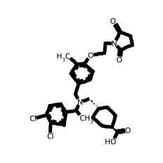 Cc1cc(CN(C[C@H]2CC[C@H](C(=O)O)CC2)C(C)c2ccc(Cl)c(Cl)c2)ccc1OCCN1C(=O)CCC1=O